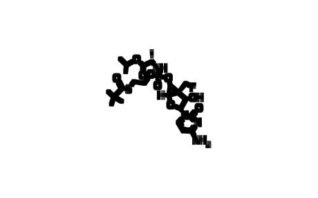 CC(C)OC(=O)[C@H](C)N[P@@](=O)(OCCSC(=O)C(C)(C)C)OC1[C@H]2O[C@@H](n3ccc(N)nc3=O)[C@H](O)[C@@]12CF